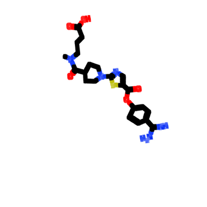 CN(CCCC(=O)O)C(=O)C1CCN(c2ncc(C(=O)Oc3ccc(C(=N)N)cc3)s2)CC1